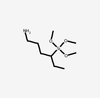 CCC(CCCN)[Si](OC)(OC)OC